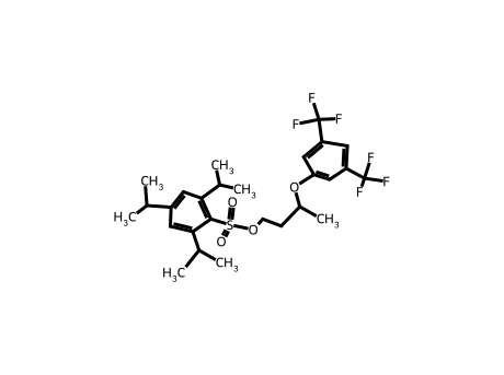 CC(CCOS(=O)(=O)c1c(C(C)C)cc(C(C)C)cc1C(C)C)Oc1cc(C(F)(F)F)cc(C(F)(F)F)c1